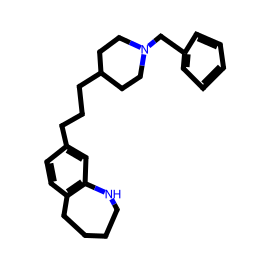 c1ccc(CN2CCC(CCCc3ccc4c(c3)NCCCC4)CC2)cc1